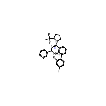 CC(F)(F)C1CCCN1/C(=N/C(N)c1cccnc1)c1cccc(-c2ccc(F)cc2F)c1